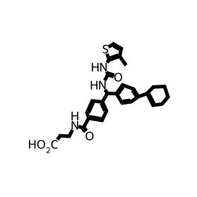 Cc1ccsc1NC(=O)NC(c1ccc(C(=O)NCCC(=O)O)cc1)c1ccc(C2=CCCCC2)cc1